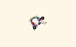 C[C@H]1CN2CC[C@@H]1n1c(nc3cc(F)ccc31)OC1C[C@@H](C(=O)O)N(C1)c1nc(nc3c1oc1ccccc13)C(F)(F)CCCCC(F)(F)C2=O